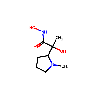 CN1CCCC1C(C)(O)C(=O)NO